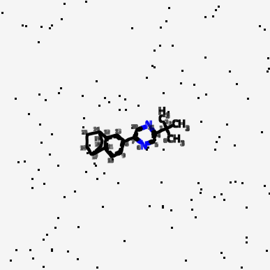 CC(C)(C)c1cnc(-c2ccc3c(c2)C2CCC3CC2)cn1